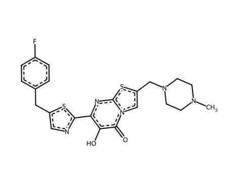 CN1CCN(Cc2cn3c(=O)c(O)c(-c4ncc(Cc5ccc(F)cc5)s4)nc3s2)CC1